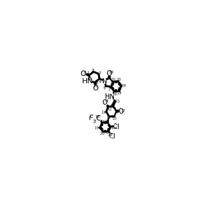 O=C1CCC(N2Cc3c(NC=C4C(=O)CC(c5c(C(F)(F)F)ccc(Cl)c5Cl)CC4=O)cccc3C2=O)C(=O)N1